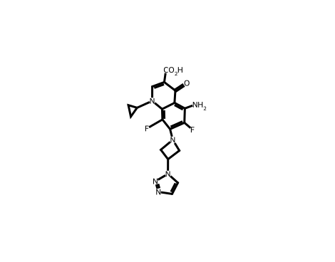 Nc1c(F)c(N2CC(n3ccnn3)C2)c(F)c2c1c(=O)c(C(=O)O)cn2C1CC1